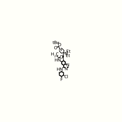 C=CC(=O)Nc1cc2c(Nc3ccc(F)c(Cl)c3)ncnc2cc1C#CC1(N(CC)CC)CCN(C(=O)OC(C)(C)C)CC1